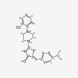 CC(C)c1ccc(/C=C2\SC(N3CCN(c4ncccc4Cl)CC3)=NC2=O)cc1